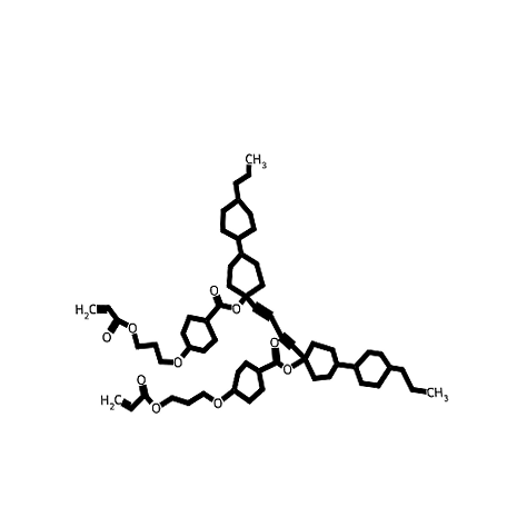 C=CC(=O)OCCCOC1CCC(C(=O)OC2(C#CC#CC3(OC(=O)C4CCC(OCCCOC(=O)C=C)CC4)CCC(C4CCC(CCC)CC4)CC3)CCC(C3CCC(CCC)CC3)CC2)CC1